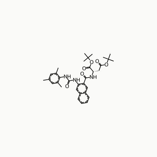 Cc1cc(C)c(NC(=O)Nc2cc3ccccc3cc2C(=O)N[C@@H](CC(=O)OC(C)(C)C)C(=O)OC(C)(C)C)c(C)c1